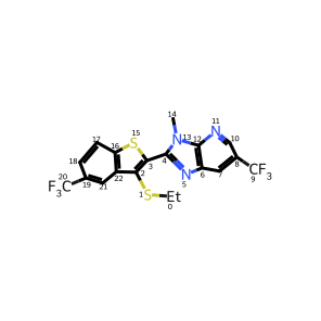 CCSc1c(-c2nc3cc(C(F)(F)F)cnc3n2C)sc2ccc(C(F)(F)F)cc12